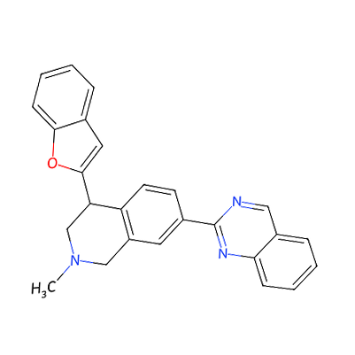 CN1Cc2cc(-c3ncc4ccccc4n3)ccc2C(c2cc3ccccc3o2)C1